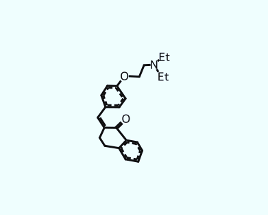 CCN(CC)CCOc1ccc(C=C2CCc3ccccc3C2=O)cc1